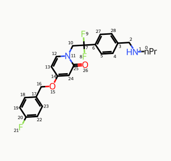 CCCNCc1ccc(C(F)(F)Cn2ccc(OCc3ccc(F)cc3)cc2=O)cc1